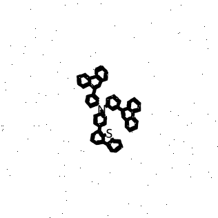 c1ccc2cc(-c3cccc(N(c4ccc(-c5cccc6c5sc5ccccc56)cc4)c4cccc(-c5cc6ccccc6c6ccccc56)c4)c3)c3ccccc3c2c#1